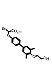 CCC(Oc1ccc(-c2cc(C)c(OCCO)c(C)c2)cc1)C(=O)O